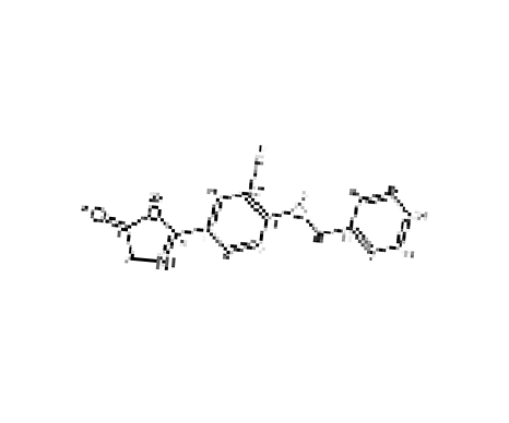 O=C1CN=C(c2ccc(OCc3ccccc3)c(F)c2)O1